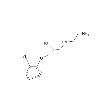 NCCNCC(O)COc1ccccc1Cl